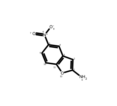 Nc1cc2cc([N+](=O)[O-])ccc2o1